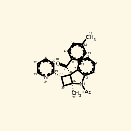 CC(=O)N1c2ccccc2[C@]2(C(=O)c3ccc(C)cc3)[C@@H](c3ccccn3)C[C@]12C